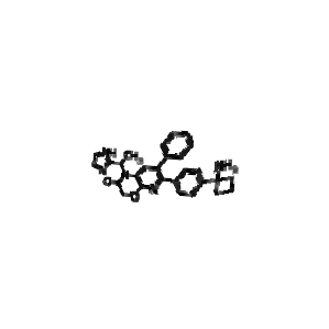 CC(c1ncc[nH]1)N1C(=O)COc2nc(-c3ccc(C4(N)CCC4)cc3)c(-c3ccccc3)cc21